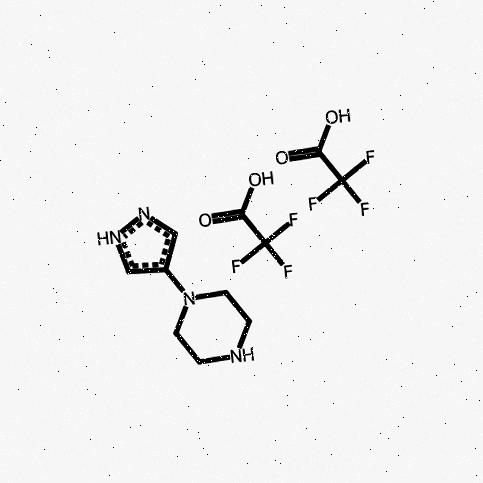 O=C(O)C(F)(F)F.O=C(O)C(F)(F)F.c1n[nH]cc1N1CCNCC1